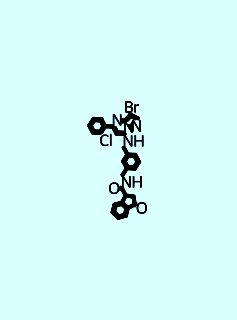 O=C1CC(C(=O)NCc2cccc(CNc3cc(-c4ccccc4Cl)nc4c(Br)cnn34)c2)c2ccccc21